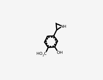 O=C(O)c1ccc(C2CN2)cc1O